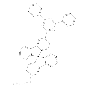 CCCCCCOc1ccc2c(c1)-c1ccccc1C21c2ccccc2-c2cc(-c3nc(-c4ccccc4)nc(-c4ccccc4)n3)ccc21